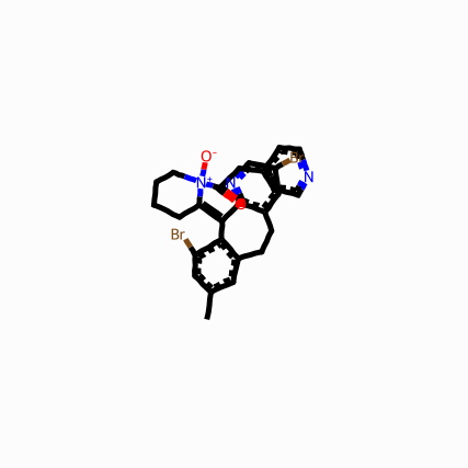 Cc1cc(Br)c2c(c1)CCc1cc(Br)cnc1C2=C1CCCC[N+]1([O-])C(=O)Cc1ccncc1